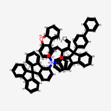 C=C/C(=C(\C=C/C)c1ccccc1)C1(c2ccc(-c3ccccc3)cc2)c2ccccc2-c2ccc(N(c3ccc4oc5ccccc5c4c3)c3cccc4c3-c3ccccc3C43c4ccccc4-c4ccccc43)cc21